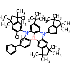 Cc1cc2c(cc1N1c3cc(-c4ccccc4)ccc3B3c4cc5c(cc4N(c4ccc6c(c4)C(C)(C)CC6(C)C)c4cc(C(C)(C)C)cc1c43)C(C)(C)CC5(C)C)C(C)(C)CC2(C)C